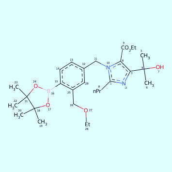 CCCc1nc(C(C)(C)O)c(C(=O)OCC)n1Cc1ccc(B2OC(C)(C)C(C)(C)O2)c(COCC)c1